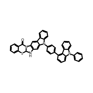 O=C1c2ccccc2SC2Nc3cc4c(cc3N12)c1ccccc1n4-c1ccc(-c2cccc3c2c2ccccc2n3-c2ccccc2)cc1